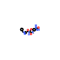 CN1C(=O)[C@@H](NC(=O)c2cnn(Cc3ccccc3)c2)COc2cc3[nH]c(=O)[nH]c3cc21